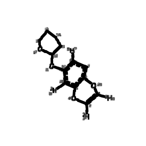 [2H]C1=C([2H])Oc2c(cc([2H])c(OC3CCCCO3)c2[2H])O1